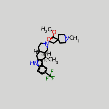 COC(=O)C1(CCN2CC[C@@H]3Cc4[nH]c5ccc(C(F)(F)F)cc5c4[C@H](C)[C@H]3C2)CCN(C)CC1